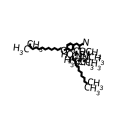 CC(C)CCCCCCCCCCOc1ccc(CC(C#N)COP(N(C(C)C)C(C)C)N(C(C)C)C(C)C)cc1OCCCCCCCCCCC(C)C